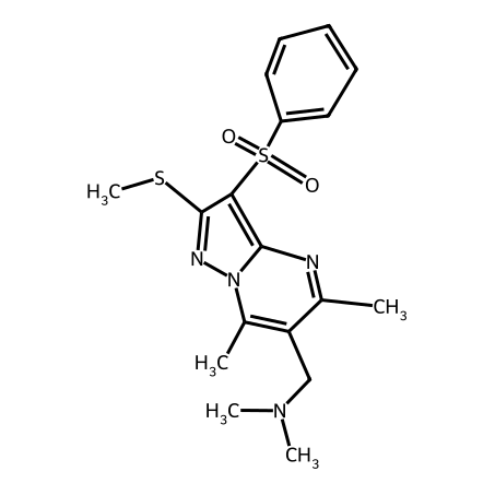 CSc1nn2c(C)c(CN(C)C)c(C)nc2c1S(=O)(=O)c1ccccc1